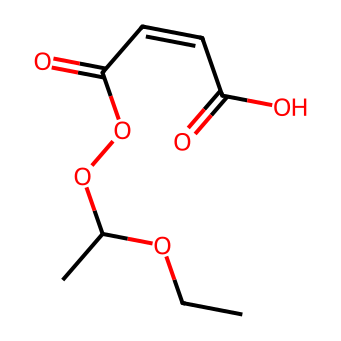 CCOC(C)OOC(=O)/C=C\C(=O)O